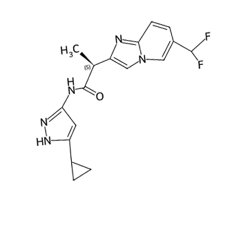 C[C@H](C(=O)Nc1cc(C2CC2)[nH]n1)c1cn2cc(C(F)F)ccc2n1